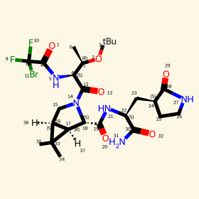 C[C@@H](OC(C)(C)C)[C@H](NC(=O)C(F)(F)Br)C(=O)N1C[C@H]2[C@@H]([C@H]1C(=O)N[C@@H](C[C@@H]1CCNC1=O)C(N)=O)C2(C)C